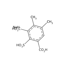 Cc1cc(C(=O)O)c(S(=O)(=O)O)c(C(=O)O)c1C.[NaH]